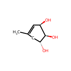 CC1=C[C@@H](O)[C@@H](O)[C@H](O)C1